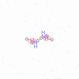 O=C(Nc1ccc(-c2ccc(NC(=O)[C@@H]3CCCN3C(=O)OCc3ccccc3)cc2)cc1)[C@@H]1CCCN1C(=O)OCc1ccccc1